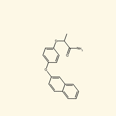 CC(Oc1ccc(Oc2ccc3ccccc3c2)cc1)C(N)=O